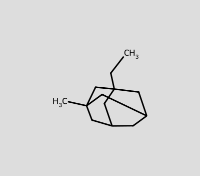 CCC12CC3CC(CC(C)(C3)C1)C2